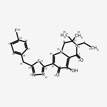 CCN1C(=O)c2c(O)c(=O)c(-c3nnc(Cc4ccc(F)cc4)s3)cn2CC1(C)C